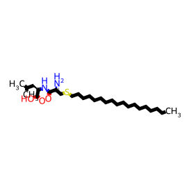 CCCCCCCCCCCCCCCCCCSC[C@H](N)C(=O)N[C@H](CC(C)C)C(=O)O